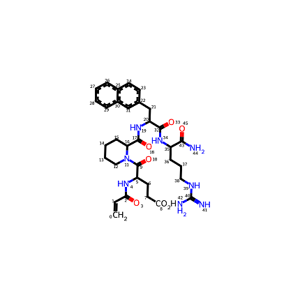 C=CC(=O)NC(CCC(=O)O)C(=O)N1CCCCC1C(=O)NC(Cc1ccc2ccccc2c1)C(=O)NC(CCCNC(=N)N)C(N)=O